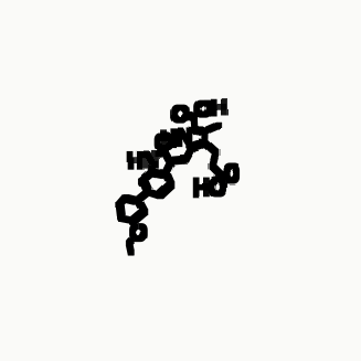 CCOc1cccc(-c2ccc3c(c2)NC(=O)/C3=C\c2[nH]c(C(=O)O)c(C)c2CCC(=O)O)c1